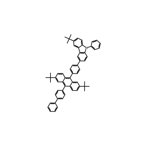 CC(C)(C)c1ccc2c(-c3ccc(-c4ccc5c(c4)c4cc(C(C)(C)C)ccc4n5-c4ccccc4)cc3)c3cc(C(C)(C)C)ccc3c(-c3ccc(-c4ccccc4)cc3)c2c1